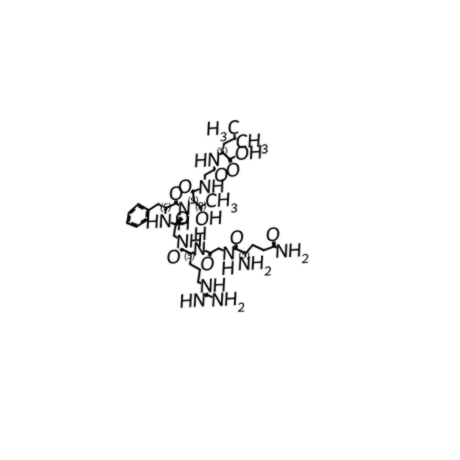 CC(C)C[C@H](NC(=O)CNC(=O)[C@@H](NC(=O)[C@H](Cc1ccccc1)NC(=O)CNC(=O)[C@H](CCCNC(=N)N)NC(=O)CNC(=O)[C@@H](N)CCC(N)=O)[C@@H](C)O)C(=O)O